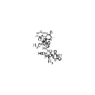 C[C@H](NP(=O)(OC[C@H]1O[C@@H](n2ccc(=O)[nH]c2=O)[C@](C)(F)[C@@H]1O)Oc1ccc(F)cc1)C(=O)OC1CCCCC1